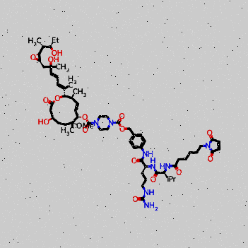 CC[C@H](O)[C@@H](C)[C@H]1O[C@@H]1CC(C)(O)/C=C/C=C(\C)[C@H]1OC(=O)C[C@H](O)CC[C@@](C)(OC)[C@@H](OC(=O)N2CCN(C(=O)OCc3ccc(NC(=O)[C@H](CCCNC(N)=O)NC(=O)[C@@H](NC(=O)CCCCCN4C(=O)C=CC4=O)C(C)C)cc3)CC2)/C=C/[C@@H]1C